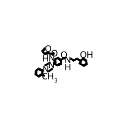 Cc1ccccc1N1CCN(c2ccc(C(=O)NCCCc3ccccc3O)cc2NC(=O)c2ccco2)CC1